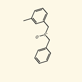 Cc1cccc(C[S+]([O-])Cc2ccccc2)c1